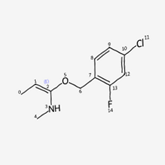 C/C=C(\NC)OCc1ccc(Cl)cc1F